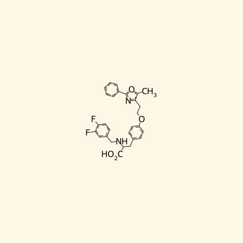 Cc1oc(-c2ccccc2)nc1CCOc1ccc(CC(NCc2ccc(F)c(F)c2)C(=O)O)cc1